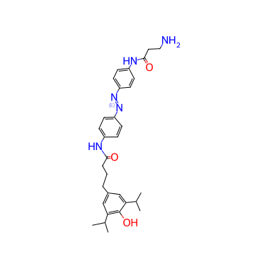 CC(C)c1cc(CCCC(=O)Nc2ccc(/N=N/c3ccc(NC(=O)CCN)cc3)cc2)cc(C(C)C)c1O